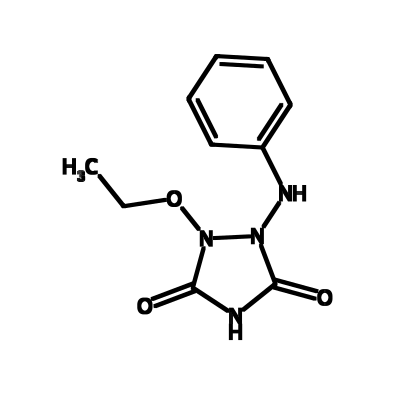 CCOn1c(=O)[nH]c(=O)n1Nc1ccccc1